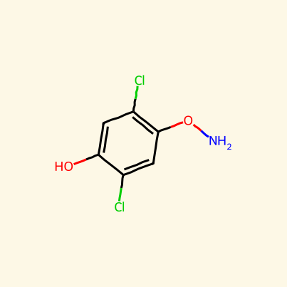 NOc1cc(Cl)c(O)cc1Cl